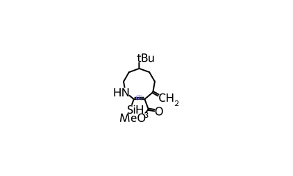 C=C1CCC(C(C)(C)C)CCN/C([SiH3])=C\1C(=O)OC